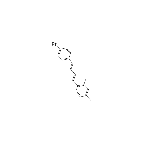 CCc1ccc(C=CC=Cc2ccc(C)cc2C)cc1